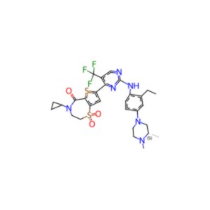 CCc1cc(N2CCN(C)[C@@H](C)C2)ccc1Nc1ncc(C(F)(F)F)c(-c2cc3c(s2)C(=O)N(C2CC2)CCS3(=O)=O)n1